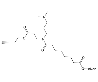 C#CCCOC(=O)CCN(CCCN(C)C)C(=O)CCCCCCC(=O)OCCCCCCCCC